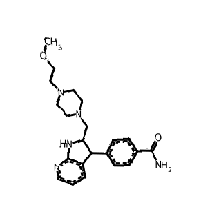 COCCN1CCN(CC2Nc3ncccc3C2c2ccc(C(N)=O)cc2)CC1